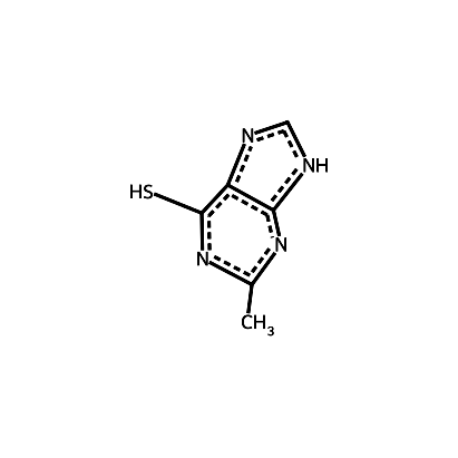 Cc1nc(S)c2nc[nH]c2n1